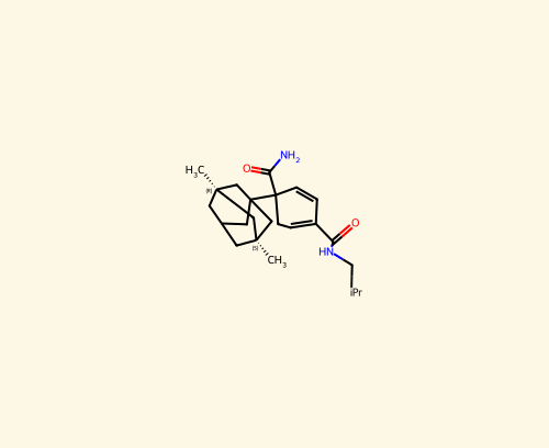 CC(C)CNC(=O)C1=CCC(C(N)=O)(C23CC4C[C@@](C)(C2)C[C@](C)(C4)C3)C=C1